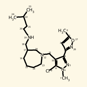 Cc1cc(-c2nn(C)c(Cl)c2CN2CCCCC(CNCCC(C)C)C2)no1